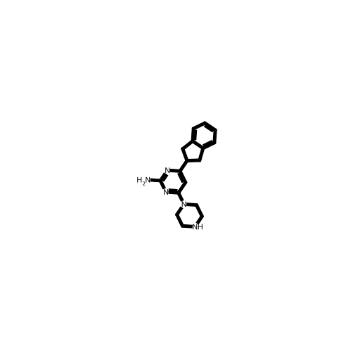 Nc1nc(C2Cc3ccccc3C2)cc(N2CCNCC2)n1